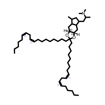 CCCCC/C=C\C/C=C\CCCCCCCCC1(CCCCCCCC/C=C\C/C=C\CCCCC)O[C@H]2CC3C(CC(C)N(C)C)CC(C)C3C[C@H]2O1